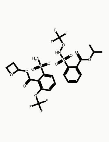 CC(C)OC(=O)c1ccccc1S(=O)(=O)NOC(F)(F)F.NS(=O)(=O)c1cccc(OC(F)(F)F)c1C(=O)OC1CCO1